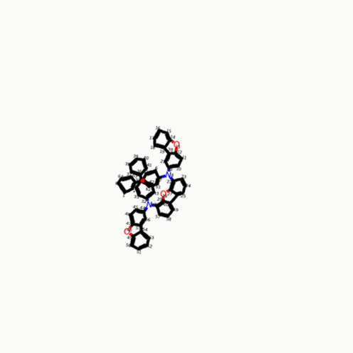 c1ccc(-c2ccc(N(c3ccc4oc5ccccc5c4c3)c3cccc4c3oc3c(N(c5ccc(-c6ccccc6)cc5)c5ccc6oc7ccccc7c6c5)cccc34)cc2)cc1